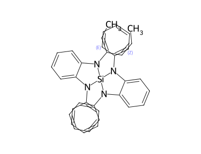 C/C=C\C(=C/C)N1c2ccccc2N(c2ccccc2)[Si]12N(c1ccccc1)c1ccccc1N2c1ccccc1